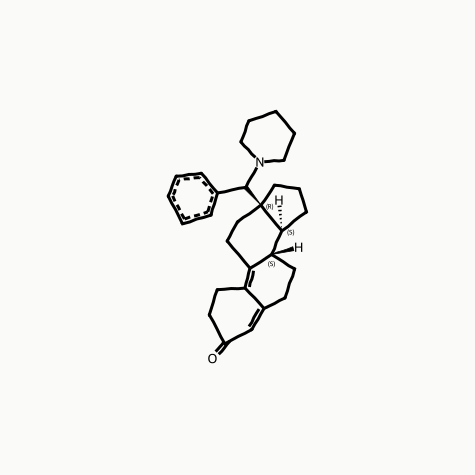 O=C1C=C2CC[C@@H]3C(=C2CC1)CC[C@]1(C(c2ccccc2)N2CCCCC2)CCC[C@@H]31